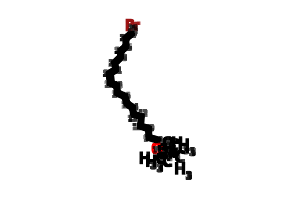 CC(C)(C)[Si](C)(C)OCCCCCCCCCCC/C=C\CCCCCCCBr